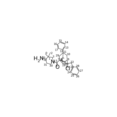 CC1(C)CN(C(=O)C23CC4CC(c5ccccc5)(CC2C4(Cl)Cc2ccccc2)C3)CC[C@@H]1N